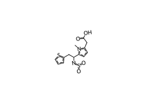 Cn1c(CC(=O)O)ccc1C(Cc1cccs1)N=S(=O)=O